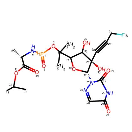 BC(B)(O[PH](=O)N[C@@H](C)C(=O)OC(C)C)C1O[C@@H](n2ncc(=O)[nH]c2=O)[C@@](O)(C#CCF)C1O